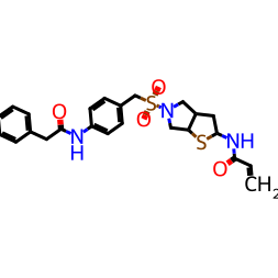 C=CC(=O)NC1CC2CN(S(=O)(=O)Cc3ccc(NC(=O)Cc4ccccc4)cc3)CC2S1